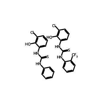 Oc1c(Cl)cccc1NC(=S)Nc1ccccc1.Oc1c(Cl)cccc1NC(=S)Nc1ccccc1C(F)(F)F